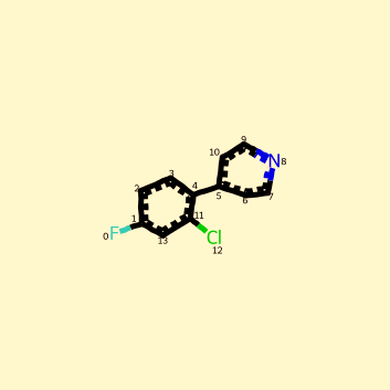 Fc1ccc(-c2ccncc2)c(Cl)c1